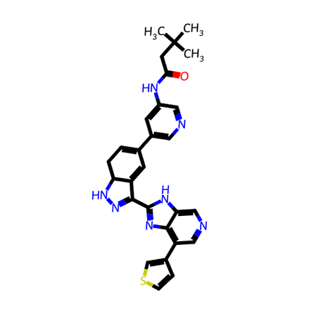 CC(C)(C)CC(=O)Nc1cncc(C2=CCC3NN=C(c4nc5c(-c6ccsc6)cncc5[nH]4)C3=C2)c1